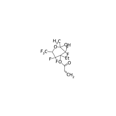 C=CC(=O)OC1(CC)C(F)(F)C(C(F)(F)F)OC(C)(O)C1(F)F